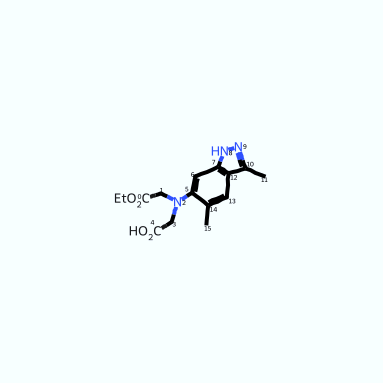 CCOC(=O)CN(CC(=O)O)c1cc2[nH]nc(C)c2cc1C